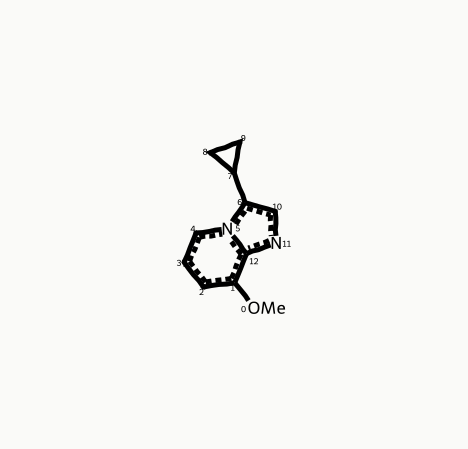 COc1c[c]cn2c(C3CC3)cnc12